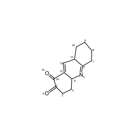 O=C1CCC2N=C3CCCCC3C=C2C1=O